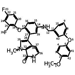 COc1ccc(Oc2cccc(CNc3ccc(Oc4ccc(F)cc4F)c(-c4cn(C)c5c(=O)[nH]ccc45)c3)c2)cc1